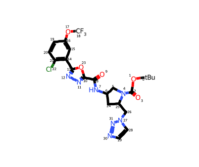 CC(C)(C)OC(=O)N1CC(NC(=O)c2nnc(-c3cc(OC(F)(F)F)ccc3Cl)o2)CC1Cn1ccnn1